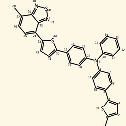 Cc1ccc(-c2ccc(N(c3ccccc3)c3ccc(-c4ccc(-c5ccc(C)c6nsnc56)s4)cc3)cc2)s1